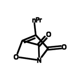 CCCc1c2on(c1=O)C2=O